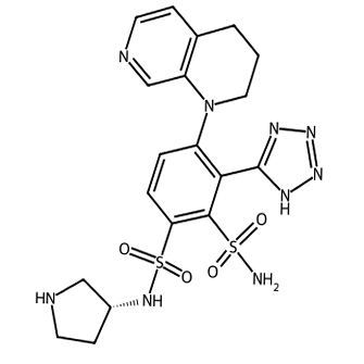 NS(=O)(=O)c1c(S(=O)(=O)N[C@@H]2CCNC2)ccc(N2CCCc3ccncc32)c1-c1nnn[nH]1